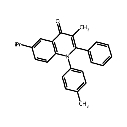 Cc1ccc(-n2c(-c3ccccc3)c(C)c(=O)c3cc(C(C)C)ccc32)cc1